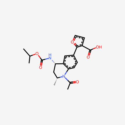 CC(=O)N1c2ccc(-c3occc3C(=O)O)cc2[C@@H](NC(=O)OC(C)C)C[C@H]1C